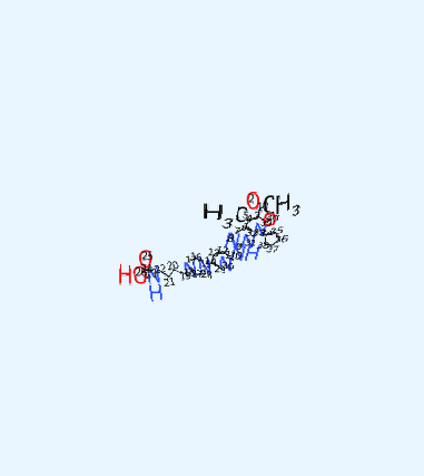 CC(=O)c1c(C)c2cnc(Nc3ccc(N4CCN(CCCCNC(=O)O)CC4)cn3)nc2n(C2CCCC2)c1=O